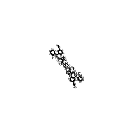 C#Cc1ccc2c(c1)C(c1ccccc1F)=N[C@@H](C)c1c(C(=O)N3CCN(C(=O)c4ncn5c4[C@H](C)N=C(c4ccccc4F)c4cc(C#C)ccc4-5)CC3)ncn1-2